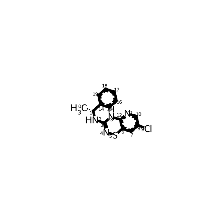 C[C@@H](NC1=NSc2cc(Cl)cnc2N1)c1ccccc1